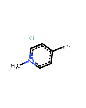 CCCc1cc[n+](C)cc1.[Cl-]